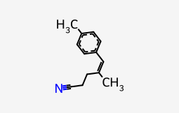 CC(=Cc1ccc(C)cc1)CCC#N